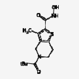 Cc1c(C(=O)NO)sc2c1CN(C(=O)C(C)(C)C)CC2